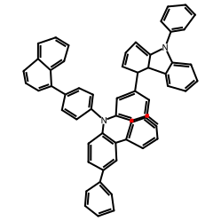 c1ccc(-c2cc(-c3ccccc3)ccc2N(c2ccc(-c3cccc4ccccc34)cc2)c2cccc(C3C=CC=C4C3c3ccccc3N4c3ccccc3)c2)cc#1